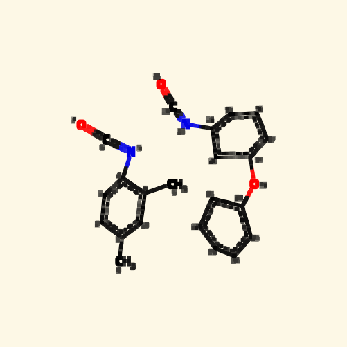 Cc1ccc(N=C=O)c(C)c1.O=C=Nc1cccc(Oc2ccccc2)c1